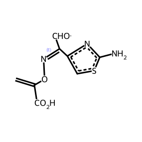 C=C(O/N=C(/[C]=O)c1csc(N)n1)C(=O)O